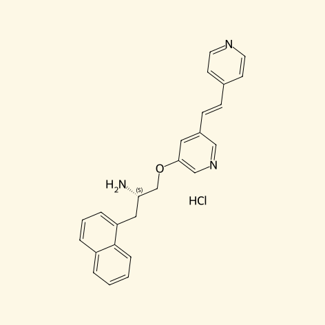 Cl.N[C@H](COc1cncc(C=Cc2ccncc2)c1)Cc1cccc2ccccc12